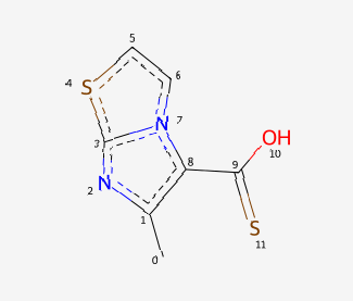 Cc1nc2sccn2c1C(O)=S